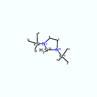 C[Si](C)(C)N1CCN([Si](C)(C)C)[SiH2]1